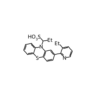 CCc1cccnc1-c1ccc2c(c1)N(C(CC)S(=O)(=O)O)c1ccccc1S2